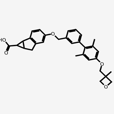 Cc1cc(OCC2(C)COC2)cc(C)c1-c1cccc(COc2ccc3c(c2)CC2C(C(=O)O)C32)c1